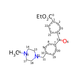 CCOC(=O)c1ccc(C(=O)c2ccc(CN3CCN(C)CC3)cc2)cc1